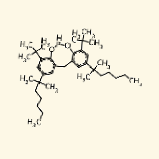 CCCCCC(C)(C)c1cc2c(c(C(C)(C)C)c1)OPOc1c(cc(C(C)(C)CCCCC)cc1C(C)(C)C)C2